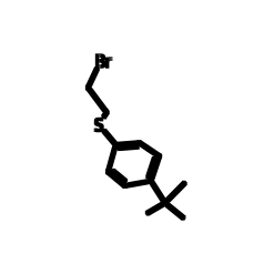 CC(C)(C)c1ccc(SCCBr)cc1